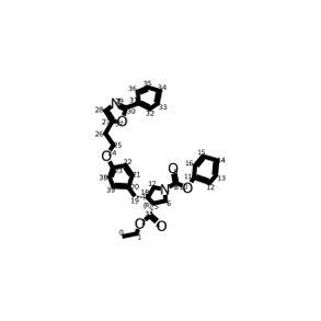 CCOC(=O)[C@H]1CN(C(=O)Oc2ccccc2)C[C@H]1Cc1ccc(OCCc2cnc(-c3ccccc3)o2)cc1